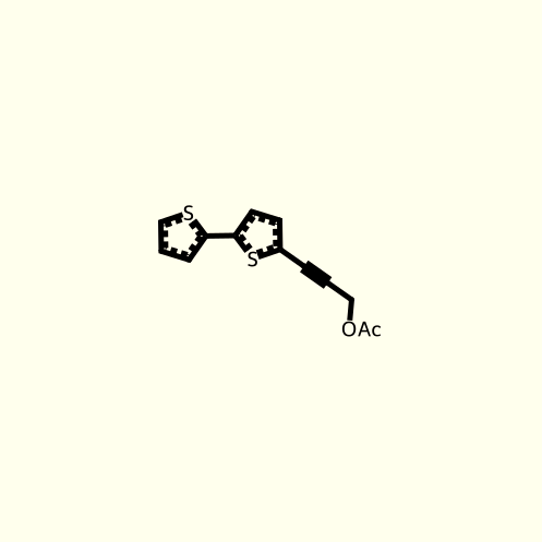 CC(=O)OCC#Cc1ccc(-c2cccs2)s1